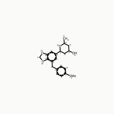 CSc1ccc(Cc2cc(C3CC(O)CC(C)O3)cc3c2OCO3)cc1